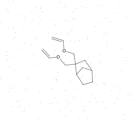 C=COCC1(COC=C)CC2CCC1C2